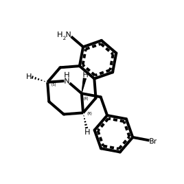 Nc1cccc2c1C[C@@H]1CC[C@H](C2)[C@@H](Cc2cccc(Br)c2)N1